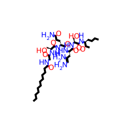 CCCCCCCCCCCC(=O)NCC(=O)N[C@@H](CO)C(=O)N[C@H](CCC(N)=O)C(=O)N[C@@H](C/C(N)=C/N)C(=O)N[C@@H](CO)C(=O)N[C@@H](CCCC)C(C)=O